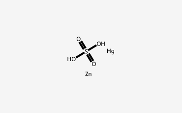 O=S(=O)(O)O.[Hg].[Zn]